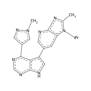 Cc1nc2ncc(-c3c[nH]c4ncnc(-c5cnn(C)c5)c34)cc2n1C(C)C